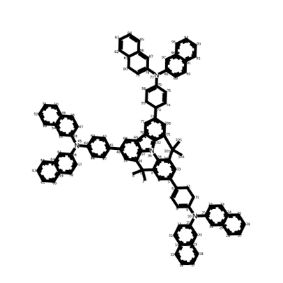 CC1(C)c2cc(C3=CC=C(N(c4ccc5ccccc5c4)c4ccc5ccccc5c4)CC3)cc3c2-n2c4c1cc(-c1ccc(N(c5ccc6ccccc6c5)c5ccc6ccccc6c5)cc1)cc4c1cc(C4C=CC(N(C5=CCC6C=CC=CC6=C5)c5ccc6ccccc6c5)=CC4)cc(c12)C3(C)C